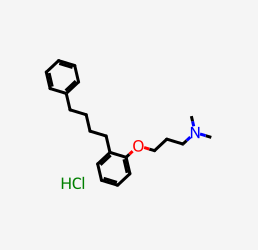 CN(C)CCCOc1ccccc1CCCCc1ccccc1.Cl